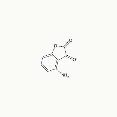 Nc1cccc2c1C(=O)C(=O)O2